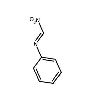 O=[N+]([O-])C=Nc1ccccc1